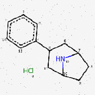 Cl.c1ccc(C2CC3CCC(C2)N3)cc1